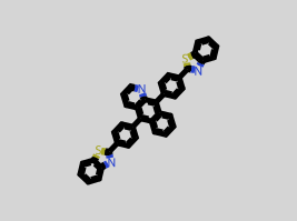 c1ccc2sc(-c3ccc(-c4c5ccccc5c(-c5ccc(-c6nc7ccccc7s6)cc5)c5ncccc45)cc3)nc2c1